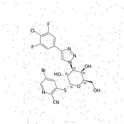 N#Cc1ncc(Br)cc1S[C@H]1O[C@H](CO)[C@H](O)[C@H](n2cc(-c3cc(F)c(Cl)c(F)c3)nn2)[C@H]1O